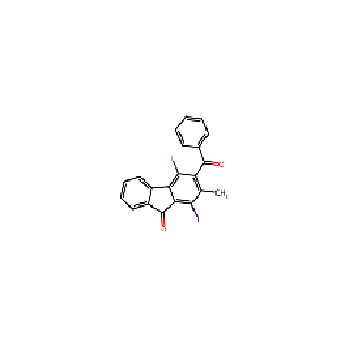 Cc1c(I)c2c(c(I)c1C(=O)c1ccccc1)-c1ccccc1C2=O